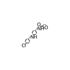 O=C(NCc1ccc(NCc2ccc(Cl)cc2)cc1)[C@H]1CCOC1